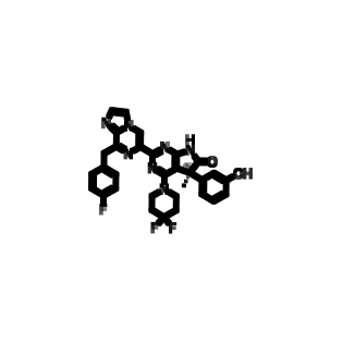 C[C@@]1(c2cccc(O)c2)C(=O)Nc2nc(-c3cn4ccnc4c(Cc4ccc(F)cc4)n3)nc(N3CCC(F)(F)CC3)c21